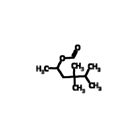 CC(CC(C)(C)C(C)C)OC=O